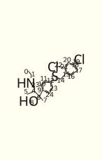 CCNCC(C)C(C)(O)c1ccc(SCc2ccc(Cl)cc2Cl)cc1